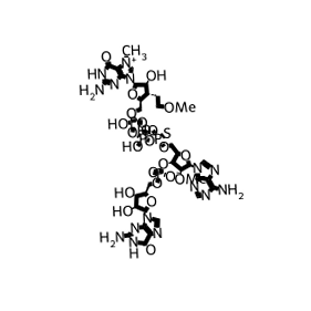 COCC[C@H]1[C@@H](O)[C@H](n2c[n+](C)c3c(=O)[nH]c(N)nc32)O[C@@H]1COP(=O)(O)OP(=O)(O)OP(O)(=S)OCC1O[C@@H](n2cnc3c(N)ncnc32)[C@H](OC)[C@@H]1OP(=O)([O-])OC[C@H]1O[C@@H](n2cnc3c(=O)[nH]c(N)nc32)[C@H](O)[C@@H]1O